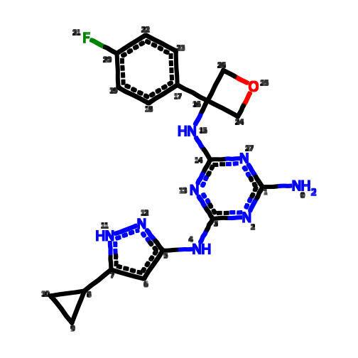 Nc1nc(Nc2cc(C3CC3)[nH]n2)nc(NC2(c3ccc(F)cc3)COC2)n1